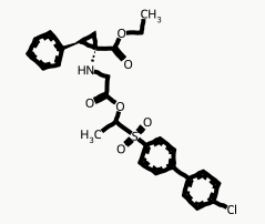 CCOC(=O)[C@]1(NCC(=O)OC(C)S(=O)(=O)c2ccc(-c3ccc(Cl)cc3)cc2)C[C@@H]1c1ccccc1